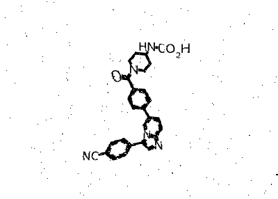 N#Cc1ccc(-c2cnc3ccc(-c4ccc(C(=O)N5CCC(NC(=O)O)CC5)cc4)cn23)cc1